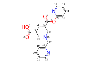 O=C(O)C1CC(C(=O)Oc2ccccn2)CN(Cc2ccccn2)C1